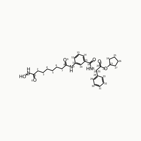 O=C(CCCCCCC(=O)Nc1cccc(C(=O)N[C@H](C(=O)OC2CCCC2)c2ccccc2)c1)NO